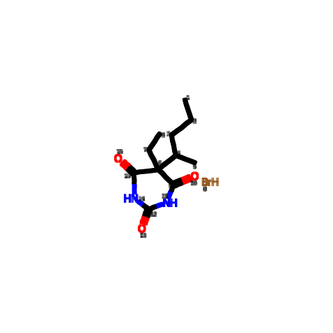 Br.CCCC(C)C1(CC)C(=O)NC(=O)NC1=O